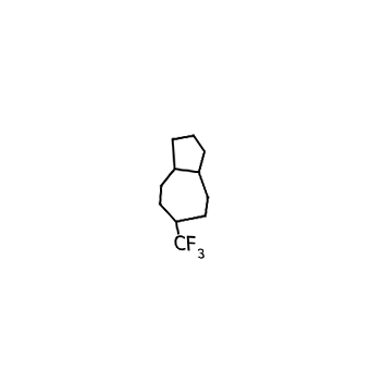 FC(F)(F)C1CCC2CCCC2CC1